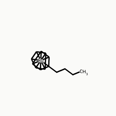 CCCC[C]12[CH]3[CH]4[CH]5[CH]1[Ru]45321678[CH]2[CH]1[CH]6[CH]7[CH]28